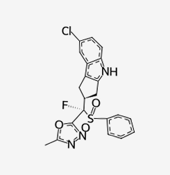 Cc1nnc([C@@](F)([C@@H]2Cc3[nH]c4ccc(Cl)cc4c3C2)S(=O)(=O)c2ccccc2)o1